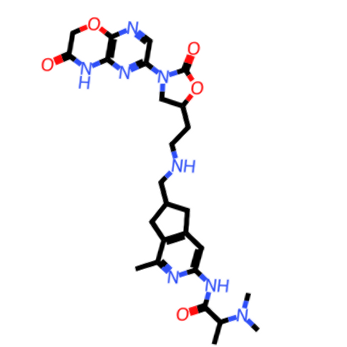 Cc1nc(NC(=O)C(C)N(C)C)cc2c1CC(CNCCC1CN(c3cnc4c(n3)NC(=O)CO4)C(=O)O1)C2